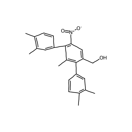 Cc1ccc(-c2c(CO)cc([N+](=O)[O-])c(-c3ccc(C)c(C)c3)c2C)cc1C